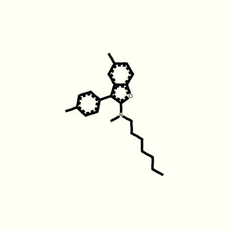 CCCCCCCN(C)c1oc2ccc(C)cc2c1-c1ccc(C)cc1